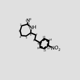 [N]C1CCCCC(CCc2ccc([N+](=O)[O-])cc2)N1